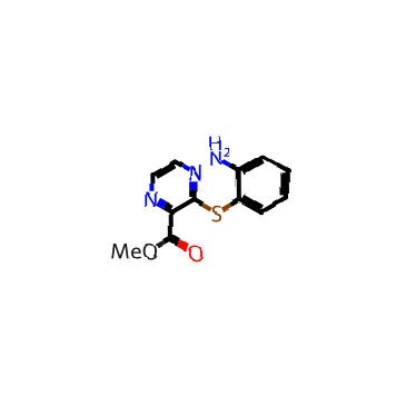 COC(=O)c1nccnc1Sc1ccccc1N